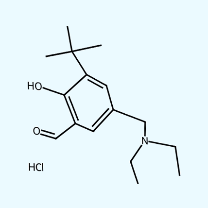 CCN(CC)Cc1cc(C=O)c(O)c(C(C)(C)C)c1.Cl